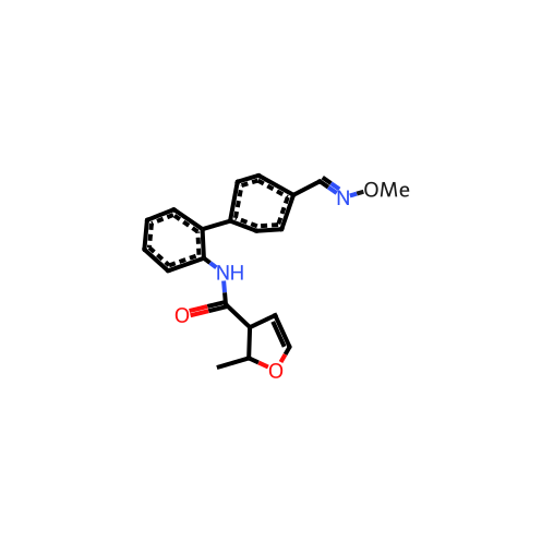 CO/N=C/c1ccc(-c2ccccc2NC(=O)C2C=COC2C)cc1